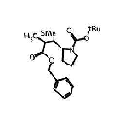 CSC(C(C)C(=O)OCc1ccccc1)[C@@H]1CCCN1C(=O)OC(C)(C)C